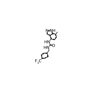 Cc1ccc(NC(=O)NCc2ccc(C(F)(F)F)cc2)c2cn[nH]c12